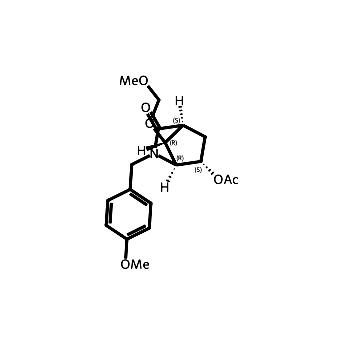 COCO[C@H]1[C@H]2[C@@H](OC(C)=O)C[C@@H]1C(=O)N2Cc1ccc(OC)cc1